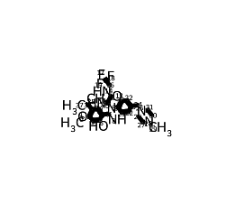 COc1cc(O)c(C(=N)N(C(=N)C(=O)NCC(F)(F)F)c2ccc(CN3CCN(C)CC3)cc2)cc1C(C)C